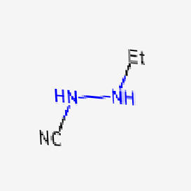 CCNNC#N